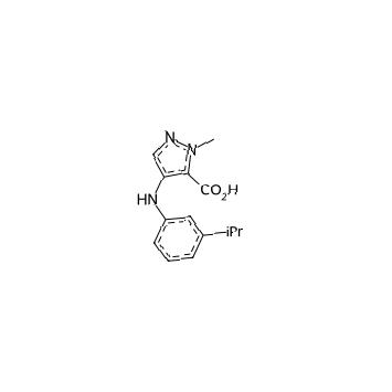 CC(C)c1cccc(Nc2cnn(C)c2C(=O)O)c1